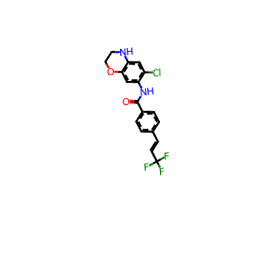 O=C(Nc1cc2c(cc1Cl)NCCO2)c1ccc(/C=C/C(F)(F)F)cc1